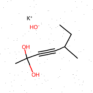 CCC(C)C#CC(C)(O)O.[K+].[OH-]